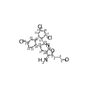 Nc1c(CCC=O)oc2nc(-c3ccc(Cl)cc3Cl)c(-c3ccc(Cl)cc3)cc12